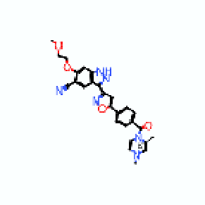 COCCOc1cc2[nH]nc(-c3cc(-c4ccc(C(=O)N5CCN(C)C[C@@H]5C)cc4)on3)c2cc1C#N